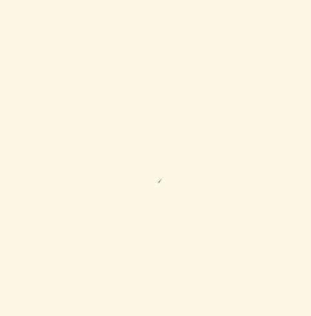 O=C(O)CCC=C[C@H]1CC[C@H](c2ccc(Cl)cc2)CC1